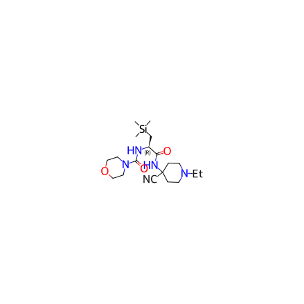 CCN1CCC(C#N)(NC(=O)[C@H](C[Si](C)(C)C)NC(=O)N2CCOCC2)CC1